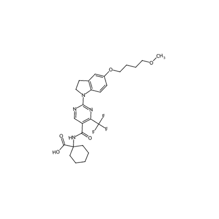 COCCCCOc1ccc2c(c1)CCN2c1ncc(C(=O)NC2(C(=O)O)CCCCC2)c(C(F)(F)F)n1